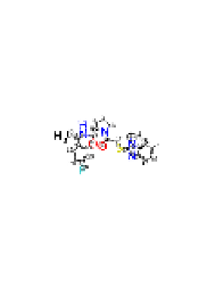 C[C@H](NC(=O)[C@@H]1CCCN1C(=O)CSc1nc2ccccc2n1C)c1ccc(F)cc1